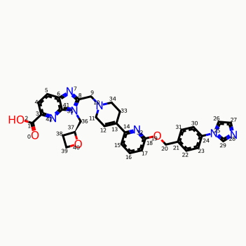 O=C(O)c1ccc2nc(CN3CC=C(c4cccc(OCc5ccc(-n6ccnc6)cc5)n4)CC3)n(C[C@@H]3CCO3)c2n1